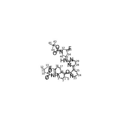 Cc1ccc2c(NS(=O)(=O)CC(C)C)c(F)ccc2c1Oc1ncccc1-c1ccnc(N[C@H]2C[C@H](F)CN(C(=O)OC(C)(C)C)C2)n1